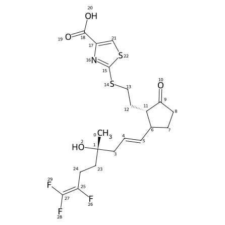 C[C@@](O)(CC=CC1CCC(=O)[C@H]1CCSc1nc(C(=O)O)cs1)CCC(F)=C(F)F